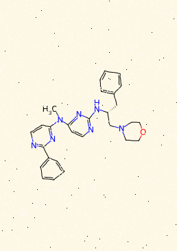 CN(c1ccnc(N[C@H](Cc2ccccc2)CN2CCOCC2)n1)c1ccnc(-c2ccccc2)n1